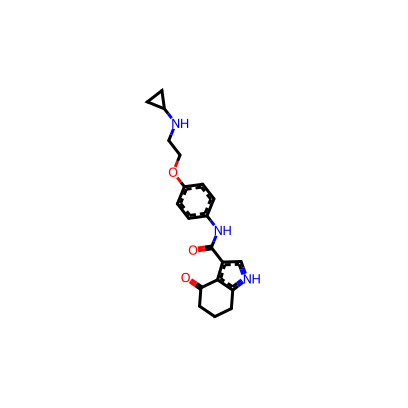 O=C(Nc1ccc(OCCNC2CC2)cc1)c1c[nH]c2c1C(=O)CCC2